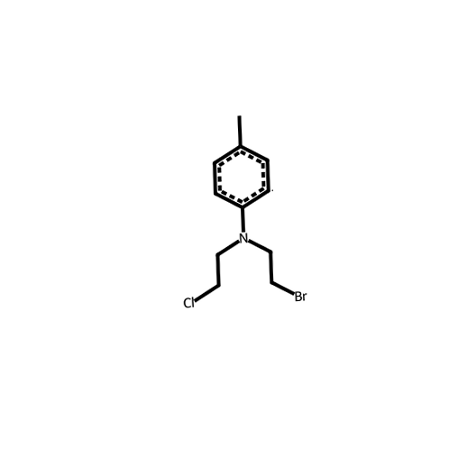 Cc1c[c]c(N(CCCl)CCBr)cc1